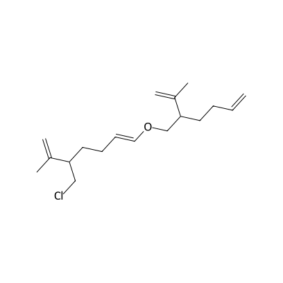 C=CCCC(CO/C=C/CCC(CCl)C(=C)C)C(=C)C